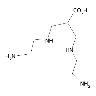 NCCNCC(CNCCN)C(=O)O